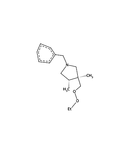 CCOOC[C@]1(C)CN(Cc2ccccc2)C[C@H]1C